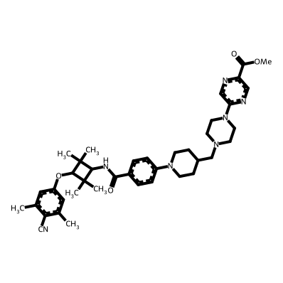 COC(=O)c1cnc(N2CCN(CC3CCN(c4ccc(C(=O)NC5C(C)(C)C(Oc6cc(C)c(C#N)c(C)c6)C5(C)C)cc4)CC3)CC2)cn1